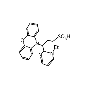 CCN1C=CC=NC1C(CCS(=O)(=O)O)N1c2ccccc2Oc2ccccc21